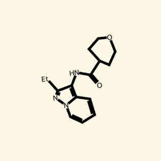 CCc1nn2ccccc2c1NC(=O)C1CCOCC1